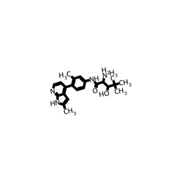 Cc1cc2c(-c3ccc(NC(=O)C(N)C(O)C(C)(C)C)cc3C)ccnc2[nH]1